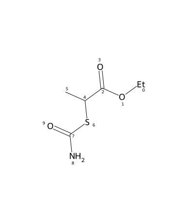 CCOC(=O)C(C)SC(N)=O